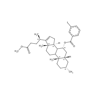 COC(=O)CC[C@@H](C)C1=CC[C@H]2C3C(CC[C@]12C)[C@@]1(C)CC[C@@H](C)C[C@H]1C[C@H]3OC(=O)c1cccc(I)c1